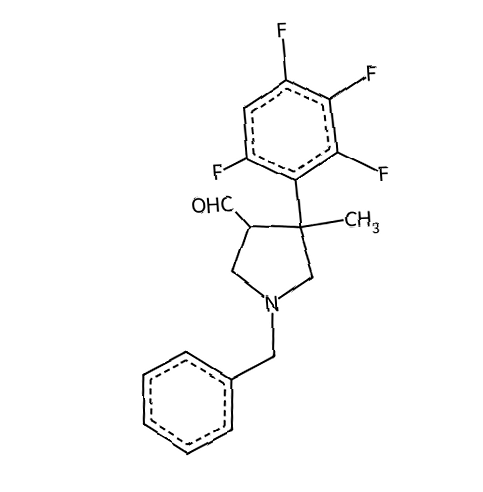 CC1(c2c(F)cc(F)c(F)c2F)CN(Cc2ccccc2)CC1C=O